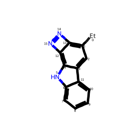 CCc1cc2c([nH]c3ccccc32)c2c1N=N2